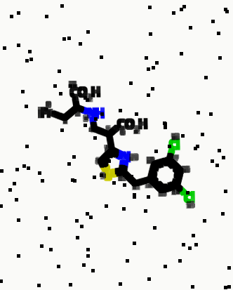 CC(C)CC(NCC(C(=O)O)c1csc(Cc2cc(Cl)cc(Cl)c2)n1)C(=O)O